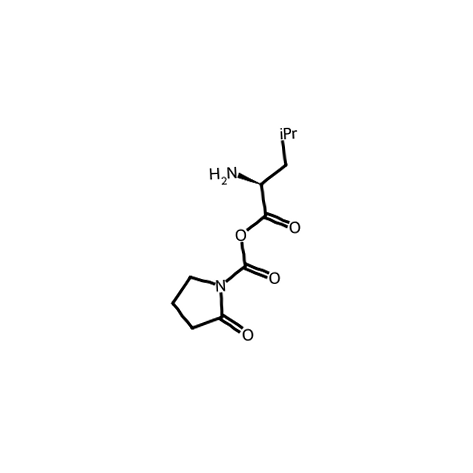 CC(C)C[C@H](N)C(=O)OC(=O)N1CCCC1=O